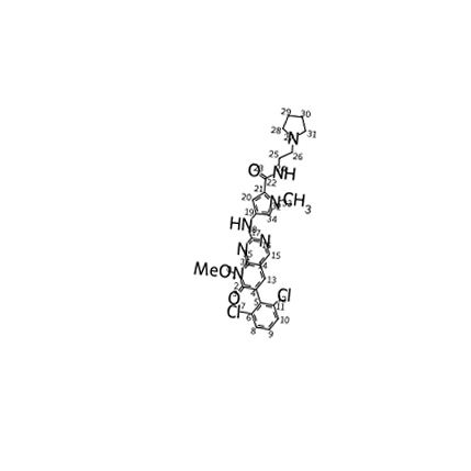 COn1c(=O)c(-c2c(Cl)cccc2Cl)cc2cnc(Nc3cc(C(=O)NCCN4CCCC4)n(C)c3)nc21